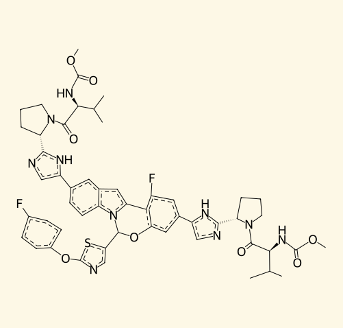 COC(=O)N[C@H](C(=O)N1CCC[C@H]1c1ncc(-c2cc(F)c3c(c2)OC(c2cnc(Oc4ccc(F)cc4)s2)n2c-3cc3cc(-c4cnc([C@@H]5CCCN5C(=O)[C@@H](NC(=O)OC)C(C)C)[nH]4)ccc32)[nH]1)C(C)C